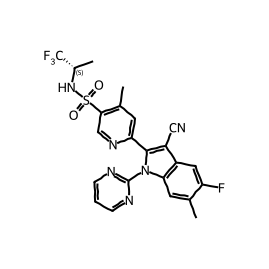 Cc1cc2c(cc1F)c(C#N)c(-c1cc(C)c(S(=O)(=O)N[C@@H](C)C(F)(F)F)cn1)n2-c1ncccn1